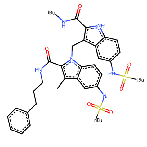 CCCCS(=O)(=O)Nc1ccc2[nH]c(C(=O)NC(C)CC)c(Cn3c(C(=O)NCCCc4ccccc4)c(C)c4cc(NS(=O)(=O)CCCC)ccc43)c2c1